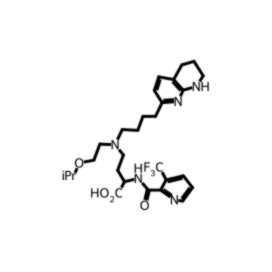 CC(C)OCCN(CCCCc1ccc2c(n1)NCCC2)CCC(NC(=O)c1ncccc1C(F)(F)F)C(=O)O